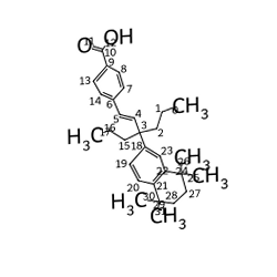 CCCC(C=Cc1ccc(C(=O)O)cc1)(CCC)c1ccc2c(c1)C(C)(C)CCC2(C)C